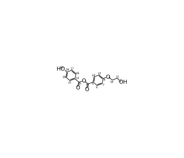 O=C(OC(=O)c1ccc(OCCO)cc1)c1ccc(O)cc1